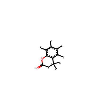 Cc1c(C)c(C)c2c(c1C)OC(=O)CC2(C)C